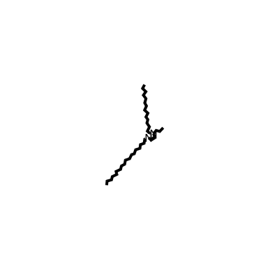 CCCCCCCCCCCCCCCCCCN1C=CN(CCC)C1CCCCCCCCCCCCCC